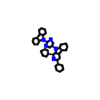 c1ccc(-c2cc3c4ccccc4n(-c4cnc(-n5c6ccccc6c6ccccc65)nc4)c3c(-c3ccccc3)n2)cc1